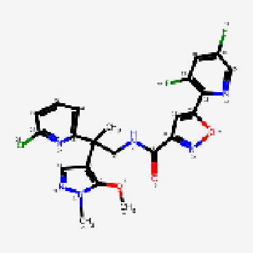 COc1c(C(C)(CNC(=O)c2cc(-c3ncc(F)cc3F)on2)c2cccc(Cl)n2)cnn1C